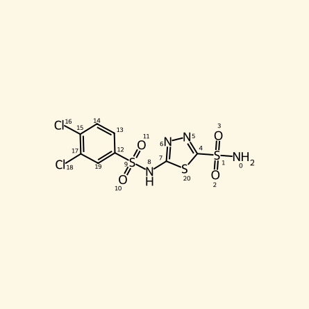 NS(=O)(=O)c1nnc(NS(=O)(=O)c2ccc(Cl)c(Cl)c2)s1